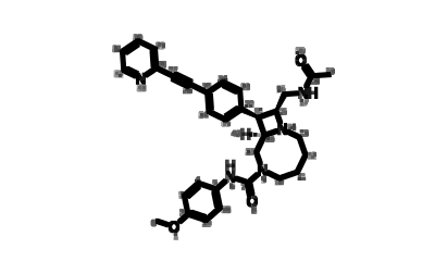 COc1ccc(NC(=O)N2CCCCN3[C@H](CNC(C)=O)[C@H](c4ccc(C#Cc5ccccn5)cc4)[C@@H]3C2)cc1